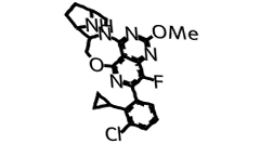 COc1nc2c3c(nc(-c4cccc(Cl)c4C4CC4)c(F)c3n1)OCC1C3CCC(CN21)N3